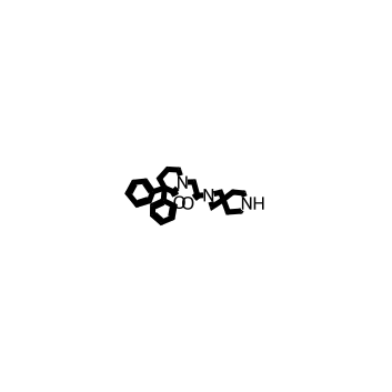 O=C(CN1CCCC(c2ccccc2)(c2ccccc2)C1=O)N1CC2(CCNCC2)C1